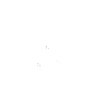 C1=CCCC(c2csc(N3CCCCC3)n2)=C1